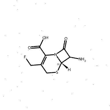 NC1C(=O)N2C(C(=O)O)=C(CF)CS[C@@H]12